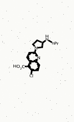 CCCNC1CCN(c2ccc3c(C(=O)O)c(Cl)ccc3n2)C1